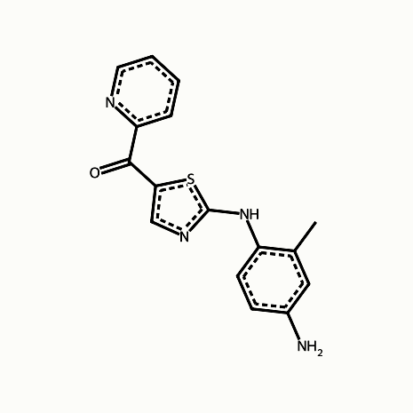 Cc1cc(N)ccc1Nc1ncc(C(=O)c2ccccn2)s1